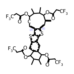 C=C1/C=c2/sc3c(sc4cc5c(cc43)C(OC(=O)CC(F)(F)F)C(C)C(C)C5OC(=O)CC(F)(F)F)/c2=C/CC(OC(=O)CC(F)(F)F)C(C)C(C)C1OC(=O)CC(F)(F)F